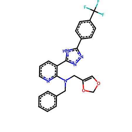 FC(F)(F)c1ccc(-c2nnc(-c3cccnc3N(CC3=COCO3)Cc3ccccc3)[nH]2)cc1